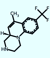 CC1=C[C@H]2CNCCN2c2ccc(C(F)(F)F)cc21